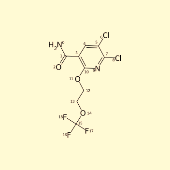 NC(=O)c1cc(Cl)c(Cl)nc1OCCOC(F)(F)F